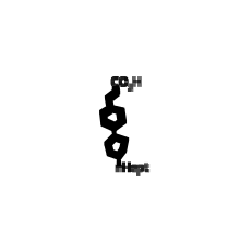 CCCCCCC[C@H]1CC[C@@H](c2ccc(C=CC(=O)O)cc2)CC1